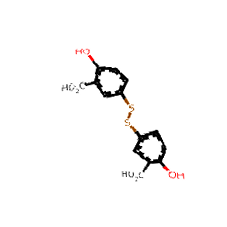 O=C(O)c1cc(SSc2ccc(O)c(C(=O)O)c2)ccc1O